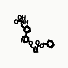 O=C(O)NCc1cccc(-c2cncc(OC[C@@H]3CCN3C(=O)OCc3ccccc3)c2)c1